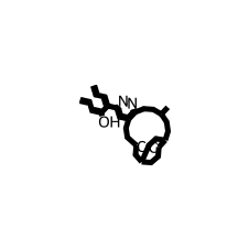 C=C/C=C(\C(O)=C/C=C)c1cc2c(nn1)CCC(C)CCC1CCC3CCC1CCC(CC2)C3